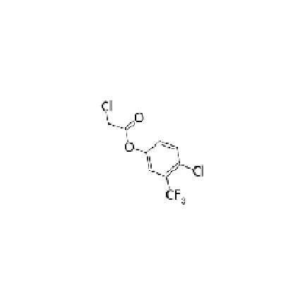 O=C(CCl)Oc1ccc(Cl)c(C(F)(F)F)c1